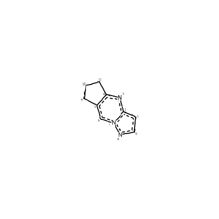 c1cc2nc3c(cn2n1)CCC3